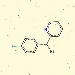 [CH2]CC(c1ccc(F)cc1)c1ccccn1